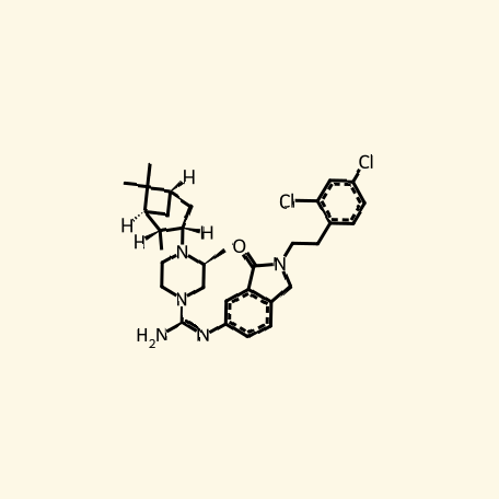 C[C@H]1[C@@H](N2CCN(C(N)=Nc3ccc4c(c3)C(=O)N(CCc3ccc(Cl)cc3Cl)C4)C[C@@H]2C)C[C@@H]2C[C@@H]1C2(C)C